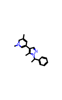 CC1=CC(c2cnn(C(C)c3ccccc3)c2C)=CN(C)C1